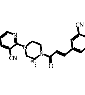 C[C@@H]1CN(c2ncccc2C#N)CCN1C(=O)C=Cc1cccc(C#N)c1